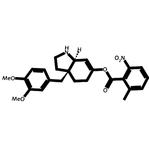 COc1ccc(C[C@@]23CCN[C@H]2C=C(OC(=O)c2c(C)cccc2[N+](=O)[O-])CC3)cc1OC